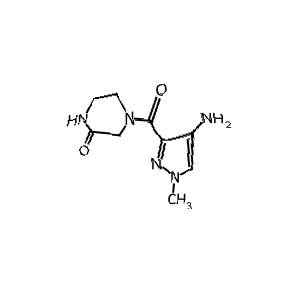 Cn1cc(N)c(C(=O)N2CCNC(=O)C2)n1